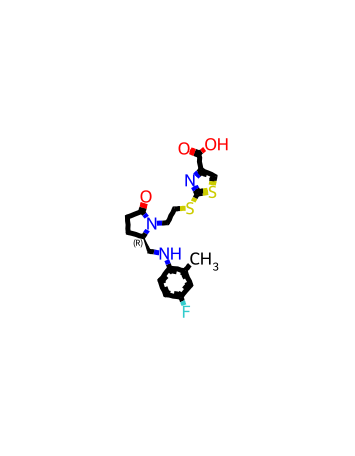 Cc1cc(F)ccc1NC[C@H]1CCC(=O)N1CCSc1nc(C(=O)O)cs1